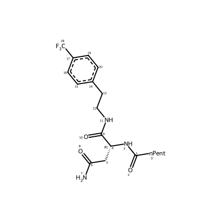 CCCCCC(=O)N[C@H](CC(N)=O)C(=O)NCCc1ccc(C(F)(F)F)cc1